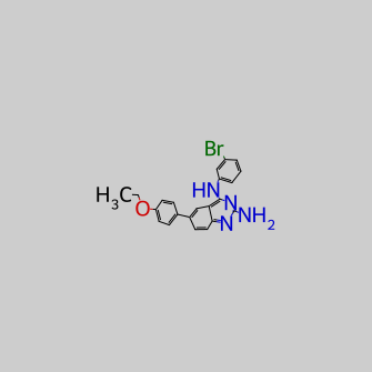 CCOc1ccc(-c2ccc3nc(N)nc(Nc4cccc(Br)c4)c3c2)cc1